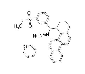 C1=CCOC=C1.CCS(=O)(=O)c1cccc(C(N=[N+]=[N-])C2CCCc3ccc4c(ccc5ccccc54)c32)c1